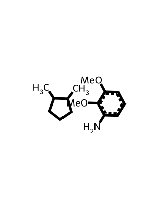 CC1CCCC1C.COc1cccc(N)c1OC